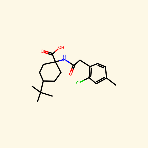 Cc1ccc(CC(=O)NC2(C(=O)O)CCC(C(C)(C)C)CC2)c(Cl)c1